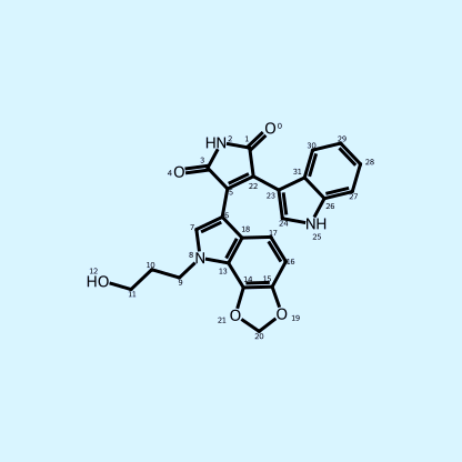 O=C1NC(=O)C(c2cn(CCCO)c3c4c(ccc23)OCO4)=C1c1c[nH]c2ccccc12